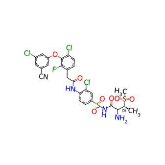 C[C@@H](C(N)C(=O)NS(=O)(=O)c1ccc(NC(=O)Cc2ccc(Cl)c(Oc3cc(Cl)cc(C#N)c3)c2F)c(Cl)c1)S(C)(=O)=O